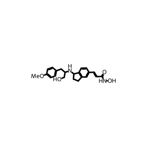 COc1ccc(CC(CO)NC2CCc3cc(C=CC(=O)NO)ccc32)cc1